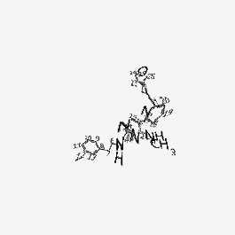 CNc1nc(NCCc2ccccc2)ncc1-c1cccc(-c2ccoc2)n1